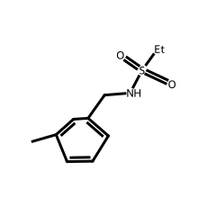 CCS(=O)(=O)NCc1cccc(C)c1